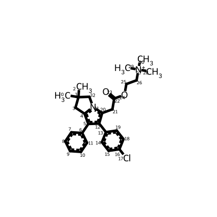 CC1(C)Cc2c(-c3ccccc3)c(-c3ccc(Cl)cc3)c(CC(=O)OCC[N+](C)(C)C)n2C1